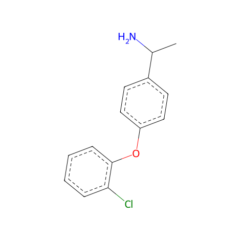 CC(N)c1ccc(Oc2ccccc2Cl)cc1